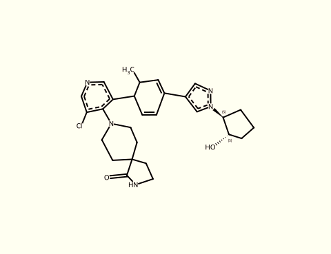 CC1C=C(c2cnn([C@H]3CCC[C@@H]3O)c2)C=CC1c1cncc(Cl)c1N1CCC2(CCNC2=O)CC1